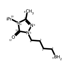 BCCCCn1nc(C)n(C(C)C)c1=O